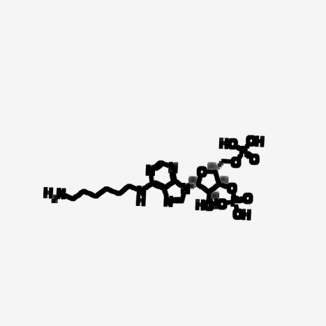 NCCCCCCNc1ncnc2c1ncn2[C@@H]1O[C@H](COP(=O)(O)O)[C@@H](OP(=O)(O)O)[C@H]1O